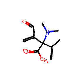 C=C(C=O)C(C(=O)O)(C(C)C)N(C)C